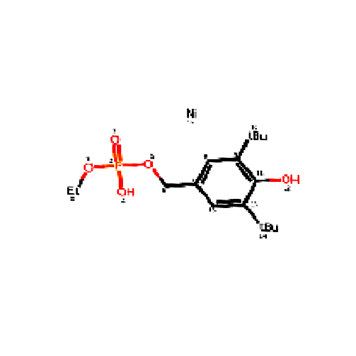 CCOP(=O)(O)OCc1cc(C(C)(C)C)c(O)c(C(C)(C)C)c1.[Ni]